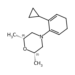 C[C@@H]1CN(C2=CCCC=C2C2CC2)C[C@H](C)O1